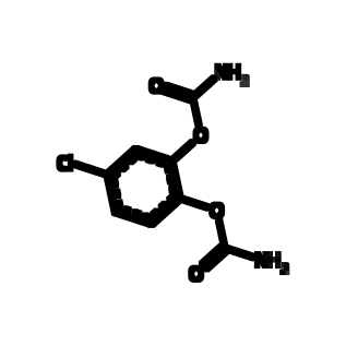 NC(=O)Oc1ccc(Cl)cc1OC(N)=O